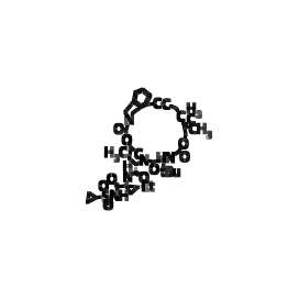 CC[C@@H]1C[C@]1(NC(=O)[C@@H]1C[C@]2(C)CN1C(=O)[C@H](C(C)(C)C)NC(=O)OCC(C)(C)CCCCc1cccc3c1CN(C3)C(=O)O2)C(=O)NS(=O)(=O)C1CC1